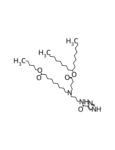 CCCCCCCCC(CCCCCCCC)OC(=O)CCCN(CCCCCCCCC(=O)OCCCCC)CCCNC(=O)c1c[nH]cn1